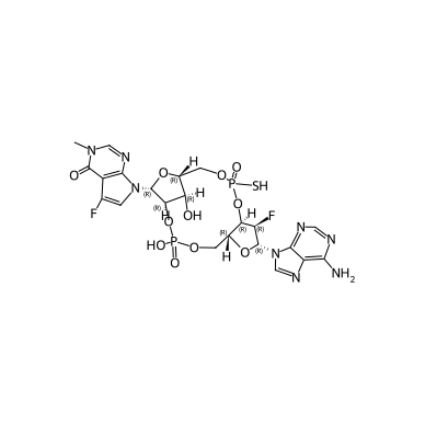 Cn1cnc2c(c(F)cn2[C@@H]2O[C@@H]3COP(=O)(S)O[C@H]4[C@@H](F)[C@H](n5cnc6c(N)ncnc65)O[C@@H]4COP(=O)(O)O[C@@H]2[C@@H]3O)c1=O